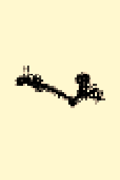 C=C(F)C(=O)N1CCN(c2nc(OCC3CCCN3CCCOCCOCCOCCOc3c(Br)cc(C=C4C(=O)Nc5ccc(I)cc54)cc3Br)nc3c2CCN(c2cccc4cccc(Cl)c24)C3)CC1CC#N